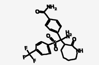 NC(=O)c1ccc(C(N)(C2CCCCNC2=O)S(=O)(=O)c2ccc(C(F)(F)F)cc2)cc1